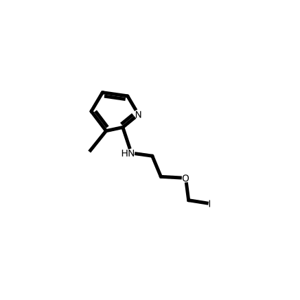 Cc1cccnc1NCCOCI